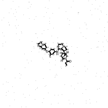 C=CC(=O)N1C[C@H]2CC[C@@H]1C[C@H]2c1ccn2ncnc(Nc3ccc(Oc4ccn5ncnc5c4)c(C)c3)c12